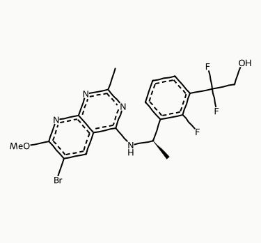 COc1nc2nc(C)nc(N[C@H](C)c3cccc(C(F)(F)CO)c3F)c2cc1Br